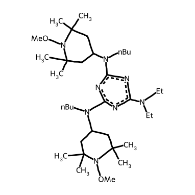 CCCCN(c1nc(N(CC)CC)nc(N(CCCC)C2CC(C)(C)N(OC)C(C)(C)C2)n1)C1CC(C)(C)N(OC)C(C)(C)C1